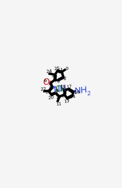 Cc1ccc(C(=O)c2[nH]c(C(C)c3ccc(N)cc3Cl)cc2C)c(C)c1